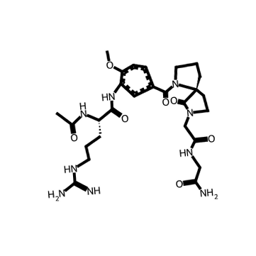 COc1ccc(C(=O)N2CCC[C@]23CCN(CC(=O)NCC(N)=O)C3=O)cc1NC(=O)[C@H](CCCNC(=N)N)NC(C)=O